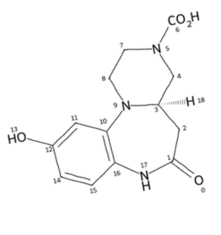 O=C1C[C@@H]2CN(C(=O)O)CCN2c2cc(O)ccc2N1